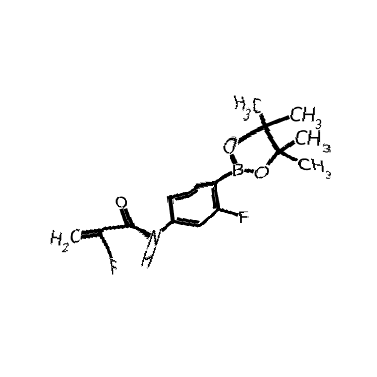 C=C(F)C(=O)Nc1ccc(B2OC(C)(C)C(C)(C)O2)c(F)c1